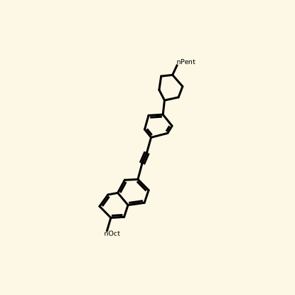 CCCCCCCCc1ccc2cc(C#Cc3ccc(C4CCC(CCCCC)CC4)cc3)ccc2c1